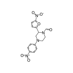 O=CN1CCN(c2ccc([N+](=O)[O-])cc2)CC1c1ccc([N+](=O)[O-])o1